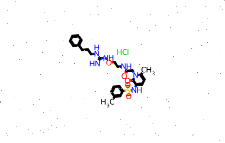 Cc1cccc(S(=O)(=O)Nc2ccc(C)n(CC(=O)NCCONC(=N)NCCCc3ccccc3)c2=O)c1.Cl